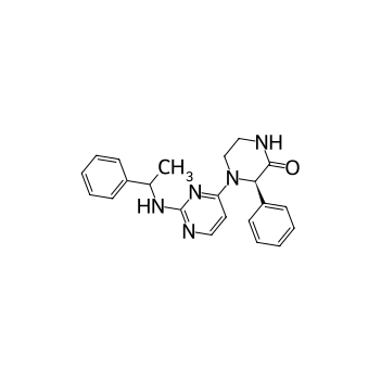 CC(Nc1nccc(N2CCNC(=O)[C@H]2c2ccccc2)n1)c1ccccc1